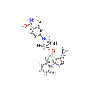 O=C1NCCc2cc(N3C[C@@H]4C[C@H]3C[C@H]4OCc3c(-c4c(Cl)cccc4Cl)noc3C3CC3)ccc21